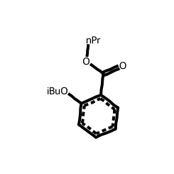 CCCOC(=O)c1ccccc1OCC(C)C